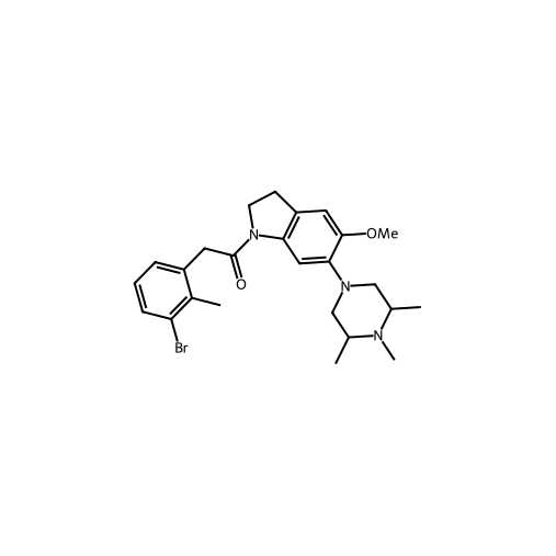 COc1cc2c(cc1N1CC(C)N(C)C(C)C1)N(C(=O)Cc1cccc(Br)c1C)CC2